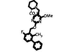 COc1nc(OCc2c(F)ccc(-c3ccccc3)c2C)ncc1CN1CCCC[C@H]1C(=O)O